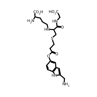 NCc1cc2cc(OC(=O)CCSCC(NCCCC(N)C(=O)O)C(=O)NCC(=O)O)ccc2[nH]1